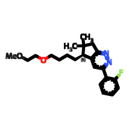 COCCOCCCC[C@@H]1c2cc(-c3ccccc3F)nnc2CC1(C)C